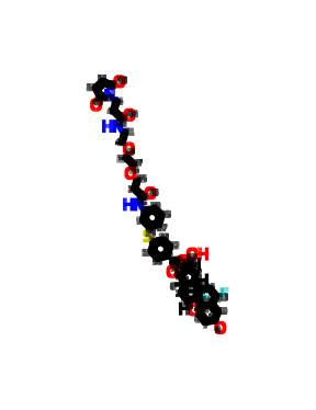 C[C@]12C[C@@H]3O[C@]45C=CC(=O)C=C4[C@@H](F)C[C@@H]([C@@H]1C[C@H]1O[C@@H](c4ccc(Sc6cccc(NC(=O)CCOCCOCCNC(=O)CCN7C(=O)C=CC7=O)c6)cc4)O[C@]12C(=O)CO)[C@]35F